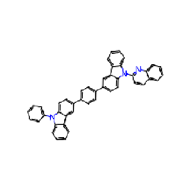 c1ccc(-n2c3ccccc3c3cc(-c4ccc(-c5ccc6c(c5)c5ccccc5n6-c5ccc6ccccc6n5)cc4)ccc32)cc1